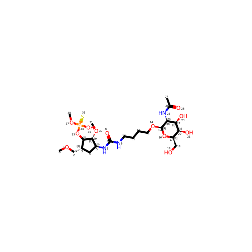 COC[C@H]1C[C@H](NC(=O)NCCCCO[C@@H]2O[C@H](CO)[C@H](O)[C@H](O)[C@H]2NC(C)=O)[C@@H](OC)C1OP(O)(=S)OC